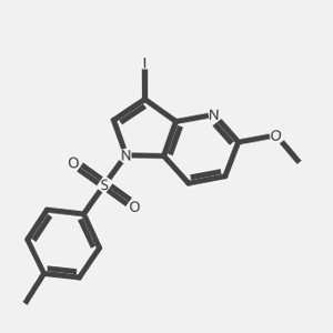 COc1ccc2c(n1)c(I)cn2S(=O)(=O)c1ccc(C)cc1